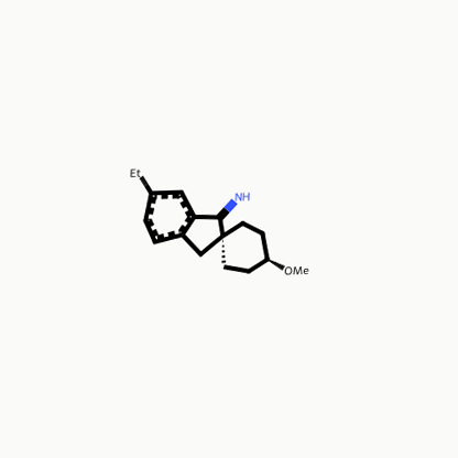 CCc1ccc2c(c1)C(=N)[C@]1(CC[C@H](OC)CC1)C2